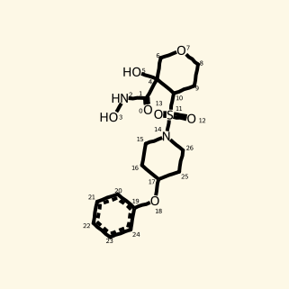 O=C(NO)C1(O)COCCC1S(=O)(=O)N1CCC(Oc2ccccc2)CC1